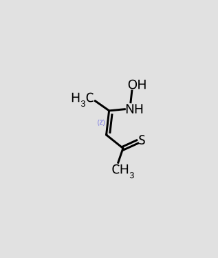 CC(=S)/C=C(/C)NO